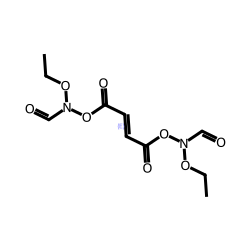 CCON(C=O)OC(=O)/C=C/C(=O)ON(C=O)OCC